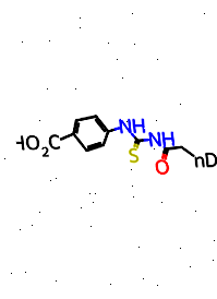 CCCCCCCCCCCC(=O)NC(=S)Nc1ccc(C(=O)O)cc1